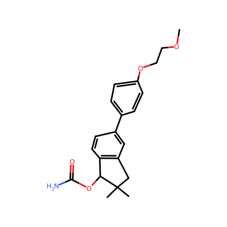 COCCOc1ccc(-c2ccc3c(c2)CC(C)(C)C3OC(N)=O)cc1